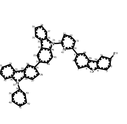 Fc1ccc2sc3ccc(-c4cccc(-n5c6ccccc6c6cc(-c7ccc8c(c7)c7ccccc7n8-c7ccccc7)ccc65)n4)cc3c2c1